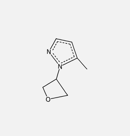 Cc1ccnn1C1COC1